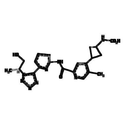 Cc1cnc(C(=O)Nc2cccc(-c3nnnn3[C@H](C)CO)n2)cc1C1CC(NC(=O)O)C1